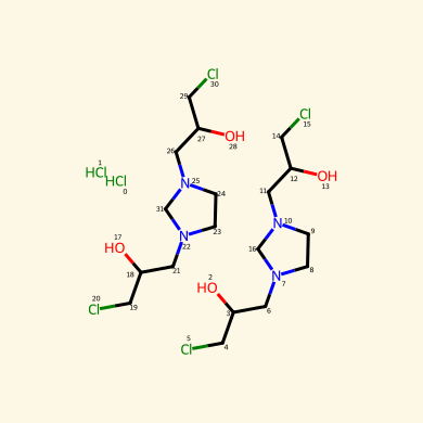 Cl.Cl.OC(CCl)CN1CCN(CC(O)CCl)C1.OC(CCl)CN1CCN(CC(O)CCl)C1